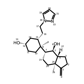 C=C1CC[C@H]2[C@H](O)[C@@H]([C@@]3(C)CC[C@H](O)C[C@@H]3CCn3cccn3)CC[C@]12C